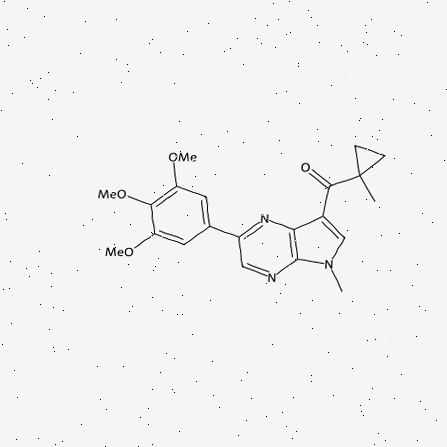 COc1cc(-c2cnc3c(n2)c(C(=O)C2(C)CC2)cn3C)cc(OC)c1OC